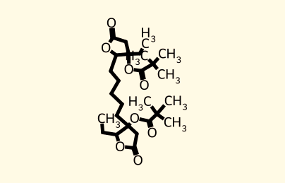 CCC1OC(=O)CC1(CCCCCC1OC(=O)CC1(CC)OC(=O)C(C)(C)C)OC(=O)C(C)(C)C